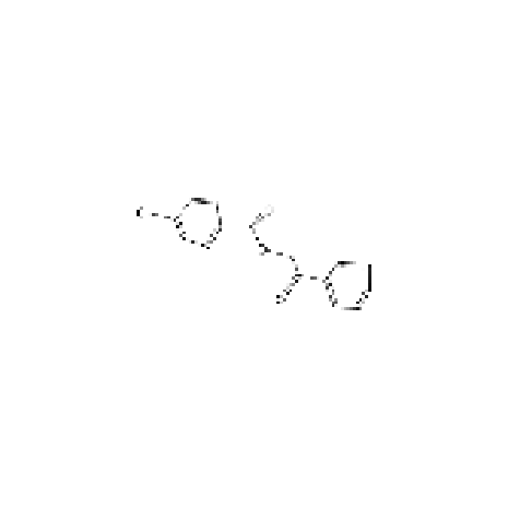 O=C(COC(=O)c1ccc(Cl)cc1)c1ccccc1